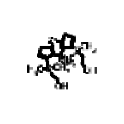 CC1C2=[C](CC=C2[Si](C)(C)CCO)[Zr][C]2=C1C([Si](C)(C)CCO)=CC2